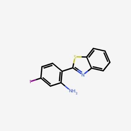 Nc1cc(I)ccc1-c1nc2ccccc2s1